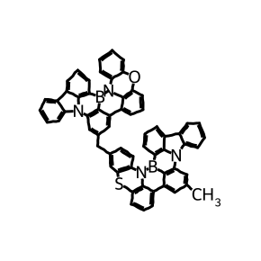 Cc1cc2c3c(c1)-n1c4ccccc4c4cccc(c41)B3N1c3ccc(Cc4cc5c6c(c4)-n4c7ccccc7c7cccc(c74)B6N4c6ccccc6Oc6cccc-5c64)cc3Sc3cccc-2c31